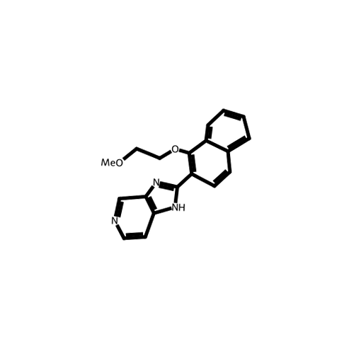 COCCOc1c(-c2nc3cnccc3[nH]2)ccc2ccccc12